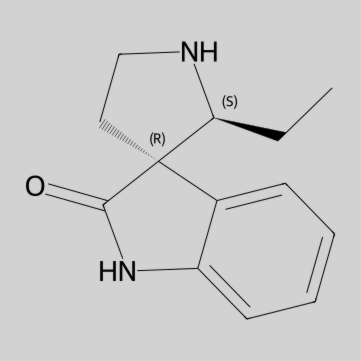 CC[C@@H]1NCC[C@]12C(=O)Nc1ccccc12